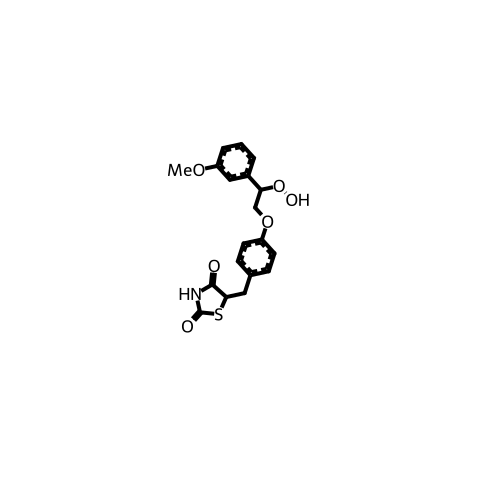 COc1cccc(C(COc2ccc(CC3SC(=O)NC3=O)cc2)OO)c1